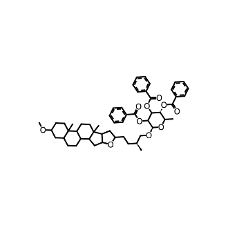 COC1CCC2(C)C(CCC3C2CCC2(C)C4CC(CC[C@H](C)CO[C@@H]5OC(C)[C@@H](OC(=O)c6ccccc6)C(OC(=O)c6ccccc6)C5OC(=O)c5ccccc5)OC4CC32)C1